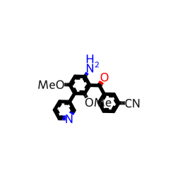 COc1cc(N)c(C(=O)c2cccc(C#N)c2)c(OC)c1-c1cccnc1